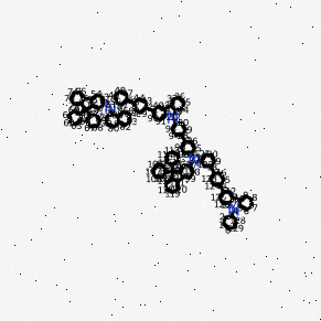 c1ccc(-n2c3ccccc3c3cc(-c4ccc(-c5cccc(N(c6ccc(-c7ccc(-n8c9ccccc9c9cc(-c%10ccc(-c%11cccc(N(c%12ccc%13c(c%12)C(c%12ccccc%12)(c%12ccccc%12)c%12ccccc%12-%13)c%12cccc%13ccccc%12%13)c%11)cc%10)ccc98)cc7)cc6)c6ccc7c(c6)C(c6ccccc6)(c6ccccc6)c6ccccc6-7)c5)cc4)ccc32)cc1